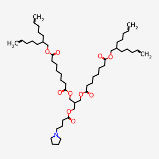 C=CCCCC(CCCC=C)COC(=O)CCCCCCC(=O)OCC(COC(=O)CCCCCCC(=O)OCC(CCCC=C)CCCC=C)COC(=O)CCCN1CCCC1